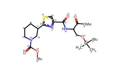 COC(=O)C(CO[Si](C)(C)C(C)(C)C)NC(=O)c1csc(C2CCCN(C(=O)OC(C)(C)C)C2)n1